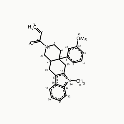 C=CC(=O)N1CCC2(c3cccc(OC)c3)Cc3c(c4ccccc4n3C)CC2C1